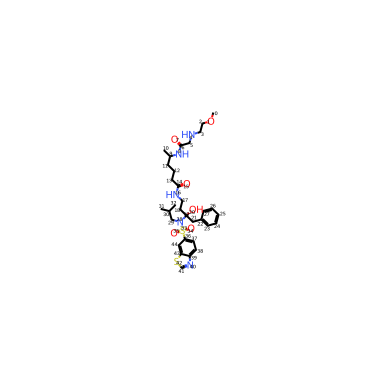 COCCNCC(=O)NC(C)CCCC(=O)NCCC(O)(Cc1ccccc1)N(CC(C)C)S(=O)(=O)c1ccc2ncsc2c1